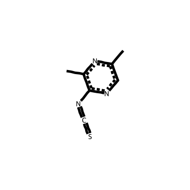 Cc1cnc(N=C=S)c(C)n1